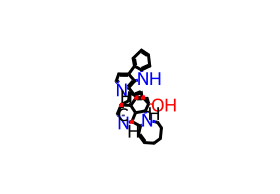 O[C@]12C=C(c3nccc4c3[nH]c3ccccc34)[C@@H]3CCN(CCCC/C=C/CC1)C[C@@]31C[C@@H]3/C=C\CCCCN3[C@H]12